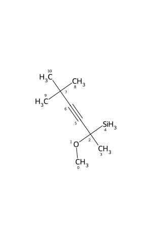 COC(C)([SiH3])C#CC(C)(C)C